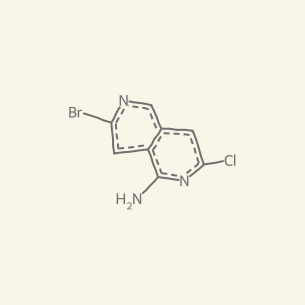 Nc1nc(Cl)cc2cnc(Br)cc12